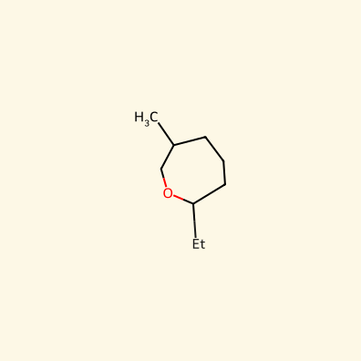 CCC1CCCC(C)CO1